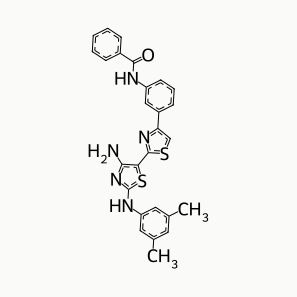 Cc1cc(C)cc(Nc2nc(N)c(-c3nc(-c4cccc(NC(=O)c5ccccc5)c4)cs3)s2)c1